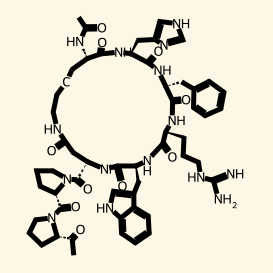 CC(=O)N[C@H]1CCCCNC(=O)C[C@@H](C(=O)N2CCC[C@H]2C(=O)N2CCC[C@H]2C(C)=O)NC(=O)[C@H](Cc2c[nH]c3ccccc23)NC(=O)[C@H](CCCNC(=N)N)NC(=O)[C@@H](Cc2ccccc2)NC(=O)[C@H](Cc2c[nH]cn2)NC1=O